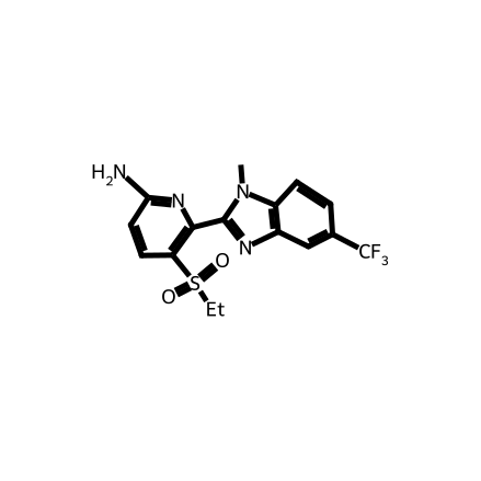 CCS(=O)(=O)c1ccc(N)nc1-c1nc2cc(C(F)(F)F)ccc2n1C